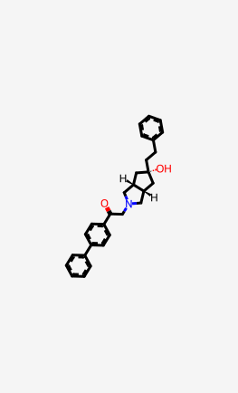 O=C(CN1C[C@@H]2C[C@@](O)(CCc3ccccc3)C[C@@H]2C1)c1ccc(-c2ccccc2)cc1